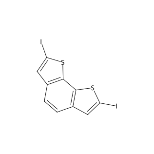 Ic1cc2ccc3cc(I)sc3c2s1